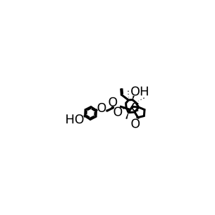 C=C[C@]1(C)C[C@@H](OC(=O)COc2ccc(O)cc2)[C@]2(C)C(C)CCC3(CCC(=O)C32)[C@@H](C)[C@@H]1O